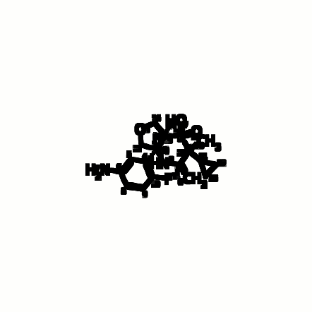 C=C1N[C@@]2(c3cc(N)ccc3F)COC[C@H]2S(=O)(=O)[C@]1(C)C1CC1